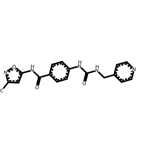 Cc1cc(NC(=O)c2ccc(NC(=O)NCc3ccncc3)cc2)on1